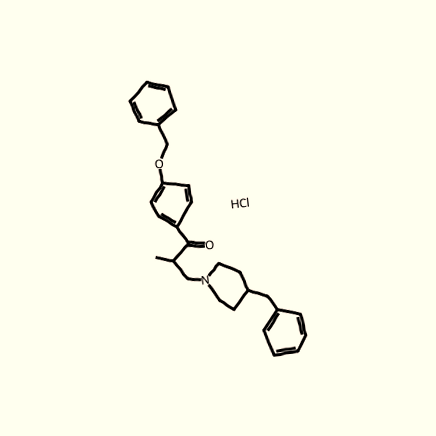 CC(CN1CCC(Cc2ccccc2)CC1)C(=O)c1ccc(OCc2ccccc2)cc1.Cl